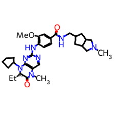 CC[C@@H]1C(=O)N(C)c2cnc(Nc3ccc(C(=O)NCC4CC5CN(C)CC5C4)cc3OC)nc2N1C1CCCC1